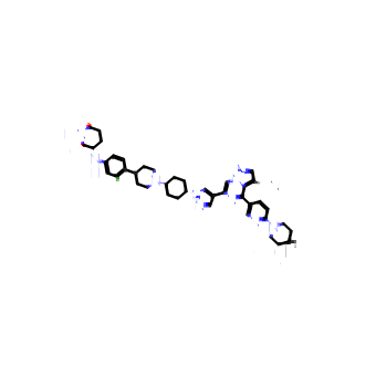 CCC1(C(=O)O)CCN(c2ccc(-c3nc(-c4cnn([C@H]5CC[C@H](N6CCC(c7ccc(N[C@H]8CCC(=O)NC8=O)cc7F)CC6)CC5)c4)cn4ncc(C#N)c34)cn2)CC1